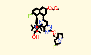 COCOc1cc(-c2cc3nc(OC[C@@]45CCCN4C[C@H](F)C5)ncc3c(N(C)CCO)n2)c2c(C#C[Si](C(C)C)(C(C)C)C(C)C)c(F)ccc2c1